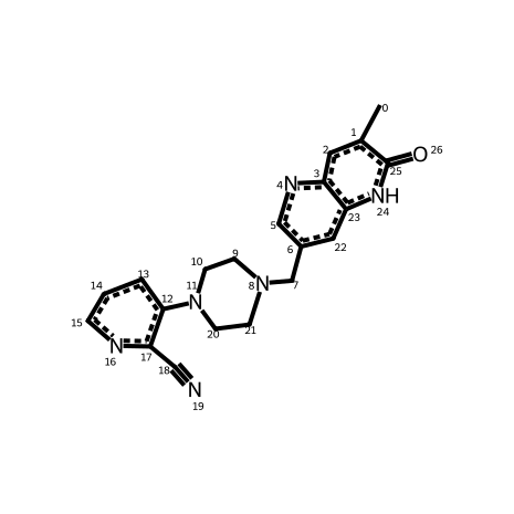 Cc1cc2ncc(CN3CCN(c4cccnc4C#N)CC3)cc2[nH]c1=O